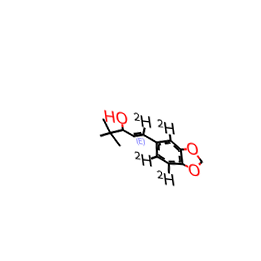 [2H]/C(=C\C(O)C(C)(C)C)c1c([2H])c([2H])c2c(c1[2H])OCO2